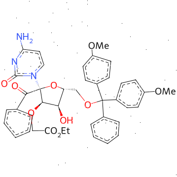 CCOC(=O)CO[C@@H]1[C@H](O)[C@@H](COC(c2ccccc2)(c2ccc(OC)cc2)c2ccc(OC)cc2)O[C@@]1(C(=O)c1ccccc1)n1ccc(N)nc1=O